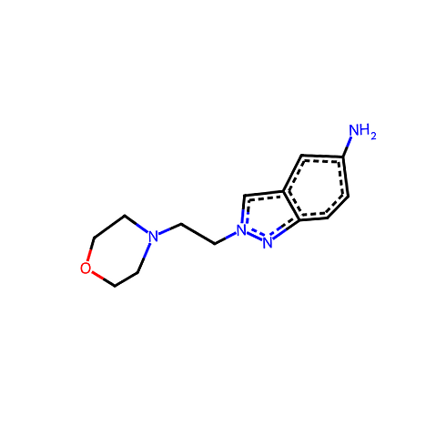 Nc1ccc2nn(CCN3CCOCC3)cc2c1